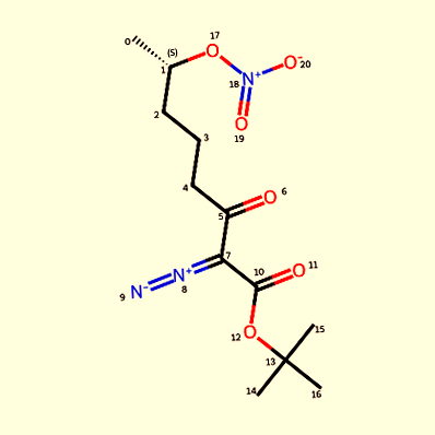 C[C@@H](CCCC(=O)C(=[N+]=[N-])C(=O)OC(C)(C)C)O[N+](=O)[O-]